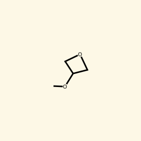 COC1COC1